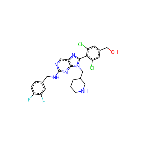 OCc1cc(Cl)c(-c2nc3cnc(NCc4ccc(F)c(F)c4)nc3n2CC2CCCNC2)c(Cl)c1